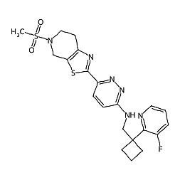 CS(=O)(=O)N1CCc2nc(-c3ccc(NCC4(c5ncccc5F)CCC4)nn3)sc2C1